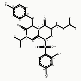 CC(C)CNC1CN(S(=O)(=O)c2ccc(Cl)cc2Cl)C2=CN(C(C)C)C(=O)C(Cc3ccc(Cl)cc3)N2C1=O